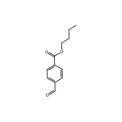 CCCCOC(=O)c1ccc([C]=O)cc1